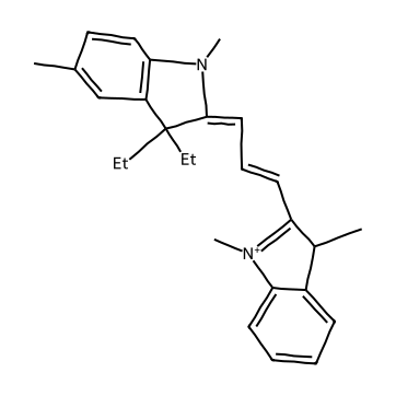 CCC1(CC)/C(=C\C=C\C2=[N+](C)c3ccccc3C2C)N(C)c2ccc(C)cc21